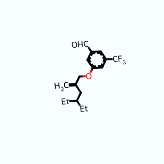 C=C(COc1cc(C=O)cc(C(F)(F)F)c1)CC(CC)CC